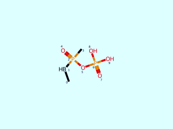 CBP(C)(=O)OP(=O)(O)O